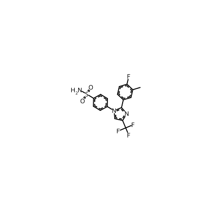 Cc1cc(-c2nc(C(F)(F)F)cn2-c2ccc(S(N)(=O)=O)cc2)ccc1F